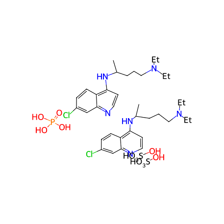 CCN(CC)CCCC(C)Nc1ccnc2cc(Cl)ccc12.CCN(CC)CCCC(C)Nc1ccnc2cc(Cl)ccc12.O=P(O)(O)O.O=S(=O)(O)O.O=S(=O)(O)O